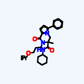 CC(C)OCCCN1C(=O)c2ccc(-c3ccccc3)n2CC1(C)C(=O)NC1CCCCC1